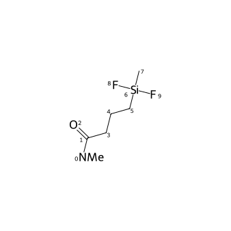 CNC(=O)CCC[Si](C)(F)F